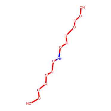 OOOOOOONOOOOOOO